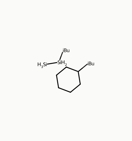 CCC(C)C1CCCCC1.CCC(C)[SiH2][SiH3]